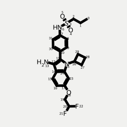 CCCS(=O)(=O)Nc1ccc(-c2c(N)c3ccc(OCC(F)F)cc3n2C2CCC2)cc1